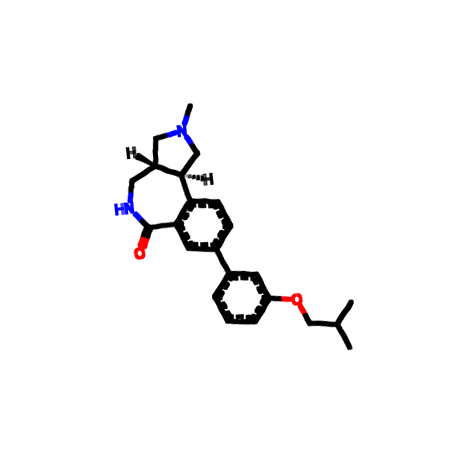 CC(C)COc1cccc(-c2ccc3c(c2)C(=O)NC[C@@H]2CN(C)C[C@@H]32)c1